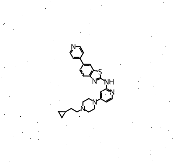 c1cc(-c2ccc3nc(Nc4cc(N5CCN(CCC6CC6)CC5)ccn4)sc3c2)ccn1